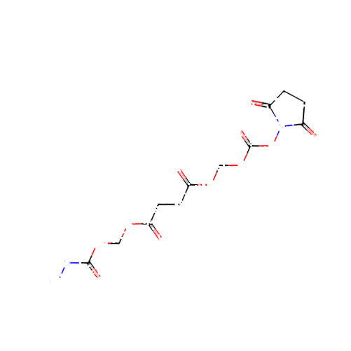 CNC(=O)OCOC(=O)CCC(=O)OCOC(=O)ON1C(=O)CCC1=O